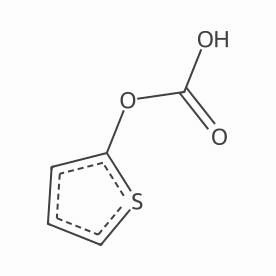 O=C(O)Oc1cccs1